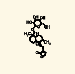 C=C1CC[C@@H]2[C@@](C)(CO[C@@H]3O[C@H](CO)[C@@H](O)[C@H](O)[C@H]3O)CCC[C@@]2(C)[C@@H]1CCC1=CCOC1=O